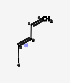 C=C/C=C/I